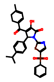 CC1=CC=C(C(=O)C2=C(O)C(=O)N(c3ncc(S(=O)(=O)C4C=CC=CC4)s3)C2c2ccc(C(C)C)cc2)CC1